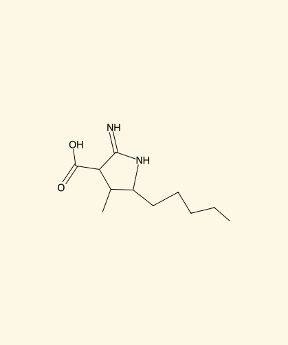 CCCCCC1NC(=N)C(C(=O)O)C1C